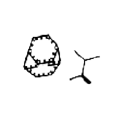 CC(C)C(=O)O.c1cc2ccc1-c1ccc-2cc1